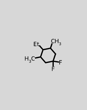 CCC1C(C)CC(F)(F)CC1C